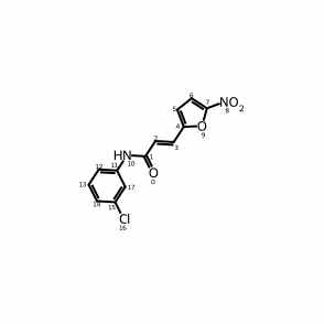 O=C(/C=C/c1ccc([N+](=O)[O-])o1)Nc1cccc(Cl)c1